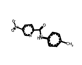 Cc1ccc(NC(=O)c2ccc([N+](=O)[O-])cn2)cc1